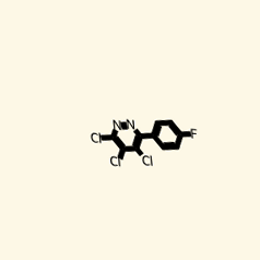 Fc1ccc(-c2nnc(Cl)c(Cl)c2Cl)cc1